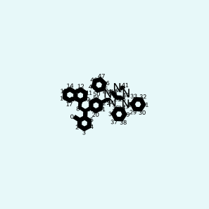 C=c1cccc/c1=C(/Cc1cccc2ccccc12)c1ccc(-c2nc3c(N(c4ccccc4)c4ccccc4)ncnc3n2-c2ccccc2)cc1